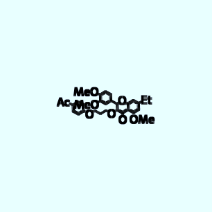 CCc1cc(OC)c2c(=O)c(OCCCOc3ccc(C(C)=O)cc3)c(-c3ccc(OC)c(OC)c3)oc2c1